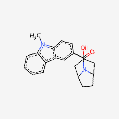 Cn1c2ccccc2c2cc(C(=O)N3C4CCC3CC(O)C4)ccc21